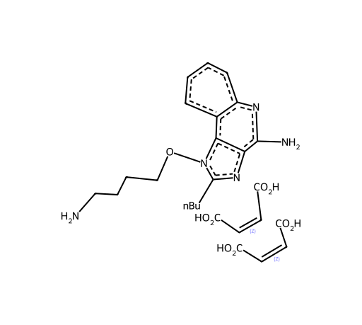 CCCCc1nc2c(N)nc3ccccc3c2n1OCCCCN.O=C(O)/C=C\C(=O)O.O=C(O)/C=C\C(=O)O